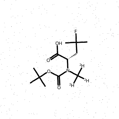 [2H]C([2H])([2H])N(C(=O)OC(C)(C)C)[C@@H](CC(C)(C)F)C(=O)O